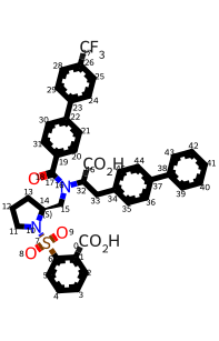 O=C(O)c1ccccc1S(=O)(=O)N1CCC[C@H]1CN(C(=O)c1ccc(-c2ccc(C(F)(F)F)cc2)cc1)C(Cc1ccc(-c2ccccc2)cc1)C(=O)O